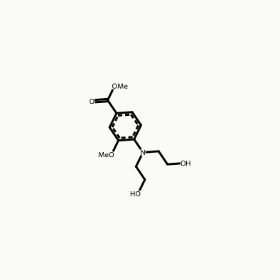 COC(=O)c1ccc(N(CCO)CCO)c(OC)c1